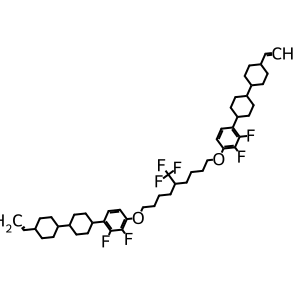 C=CC1CCC(C2CCC(c3ccc(OCCCCC(CCCCOc4ccc(C5CCC(C6CCC(C=C)CC6)CC5)c(F)c4F)C(F)(F)F)c(F)c3F)CC2)CC1